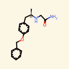 C[C@H](Cc1ccc(OCc2ccccc2)cc1)NCC(N)=O